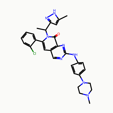 Cc1cc(C(C)n2c(-c3ccccc3Cl)cc3cnc(Nc4ccc(N5CCN(C)CC5)cc4)nc3c2=O)n[nH]1